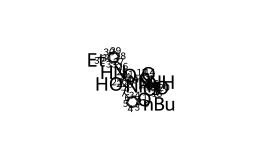 CCCCOc1cccc(C[C@H](NC(=O)c2coc(NS(C)(=O)=O)n2)[C@H](O)CNCc2cccc(CC)c2)c1